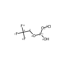 OP(OCl)OCC(F)(F)F